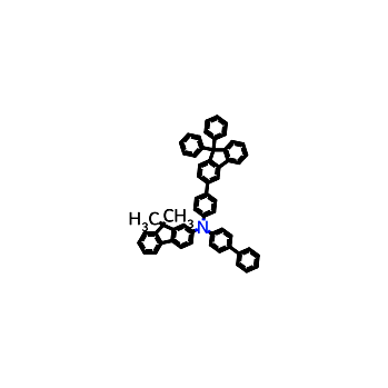 CC1(C)c2ccccc2-c2ccc(N(c3ccc(-c4ccccc4)cc3)c3ccc(-c4ccc5c(c4)-c4ccccc4C5(c4ccccc4)c4ccccc4)cc3)cc21